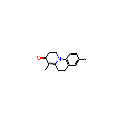 CC1=C2CCc3cc(C)ccc3N2CCC1=O